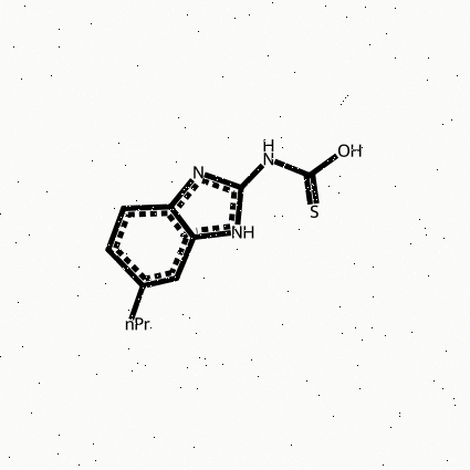 CCCc1ccc2nc(NC(O)=S)[nH]c2c1